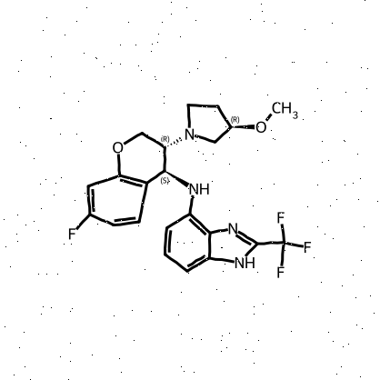 CO[C@@H]1CCN([C@H]2COc3cc(F)ccc3[C@@H]2Nc2cccc3[nH]c(C(F)(F)F)nc23)C1